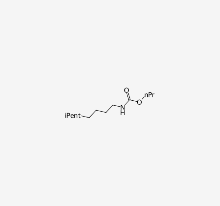 CCCOC(=O)NCCCCC(C)CCC